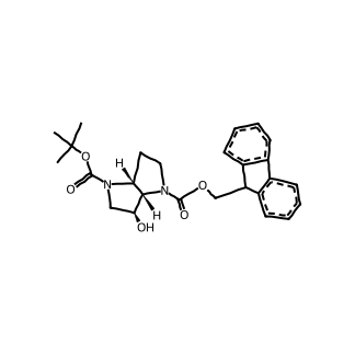 CC(C)(C)OC(=O)N1C[C@H](O)[C@@H]2[C@H]1CCN2C(=O)OCC1c2ccccc2-c2ccccc21